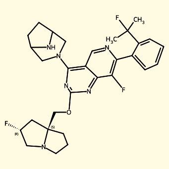 CC(C)(F)c1ccccc1-c1ncc2c(N3CC4CCC(C3)N4)nc(OC[C@@]34CCCN3C[C@H](F)C4)nc2c1F